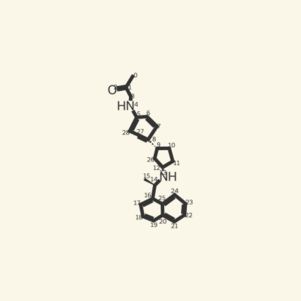 CC(=O)CNc1ccc([C@@H]2CC[C@H](N[C@H](C)c3cccc4ccccc34)C2)cc1